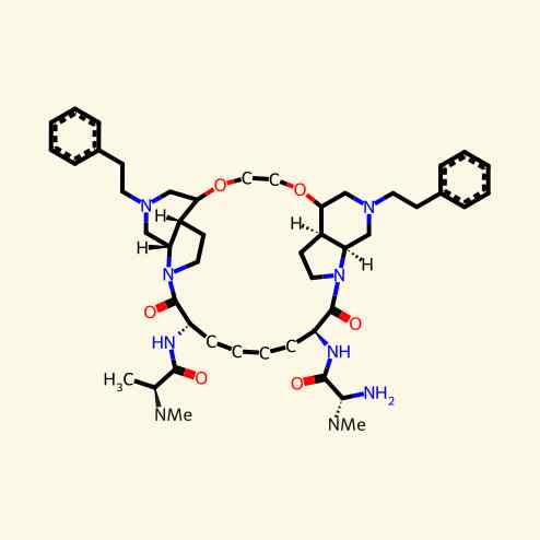 CN[C@@H](C)C(=O)N[C@H]1CCCC[C@H](NC(=O)[C@H](N)NC)C(=O)N2CC[C@H]3C(CN(CCc4ccccc4)C[C@H]32)OCCOC2CN(CCc3ccccc3)C[C@@H]3[C@H]2CCN3C1=O